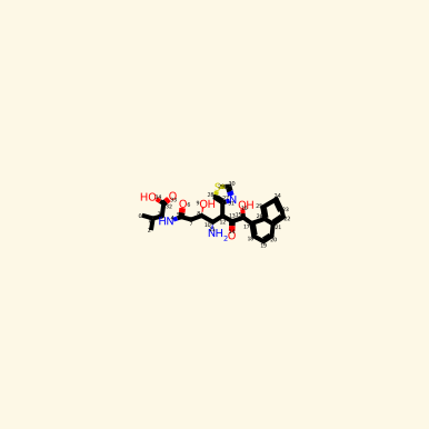 CC(C)[C@H](NC(=O)C[C@H](O)[C@@H](N)C(C(=O)C(O)c1cccc2ccccc12)c1cscn1)C(=O)O